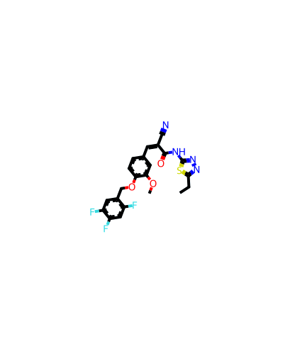 CCc1nnc(NC(=O)C(C#N)=Cc2ccc(OCc3cc(F)c(F)cc3F)c(OC)c2)s1